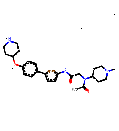 CN1CCC(N(CC(=O)Nc2ccc(-c3ccc(OC4CCNCC4)cc3)s2)C(=O)C(F)(F)F)CC1